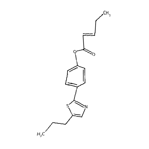 CC/C=C/C(=O)Oc1ccc(-c2ncc(CCC)s2)cc1